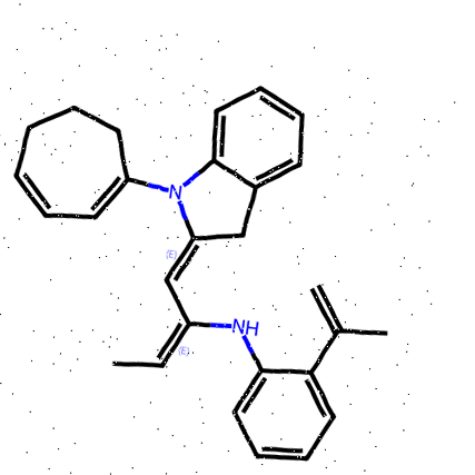 C=C(C)c1ccccc1NC(=C/C)/C=C1\Cc2ccccc2N1C1=CC=CCCC1